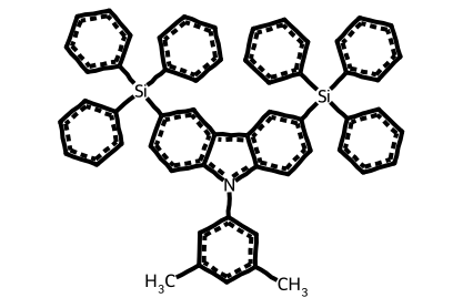 Cc1cc(C)cc(-n2c3ccc([Si](c4ccccc4)(c4ccccc4)c4ccccc4)cc3c3cc([Si](c4ccccc4)(c4ccccc4)c4ccccc4)ccc32)c1